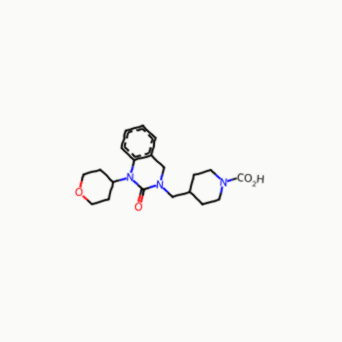 O=C(O)N1CCC(CN2Cc3ccccc3N(C3CCOCC3)C2=O)CC1